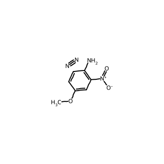 COc1ccc(N)c([N+](=O)[O-])c1.N#N